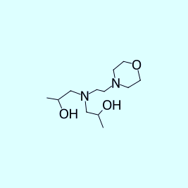 CC(O)CN(CCN1CCOCC1)CC(C)O